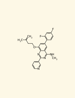 C=C(C)CCOc1cc(-c2ccc(F)cc2F)cc2c(NC)nc(-c3cccnc3)nc12